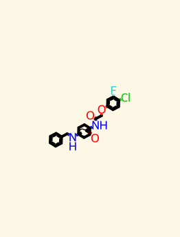 O=C(COc1ccc(Cl)c(F)c1)NC12CCC(NCc3ccccc3)(CC1)CC2=O